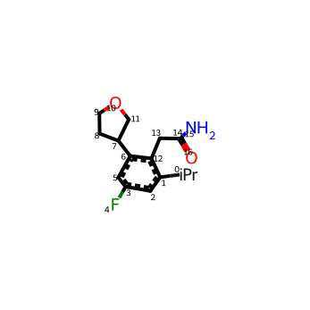 CC(C)c1cc(F)cc(C2CCOC2)c1CC(N)=O